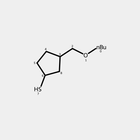 CCCCOCC1CCC(S)C1